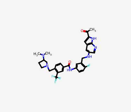 CC(=O)c1cc2cc(NCc3cc(NC(=O)c4ccc(CN5CCC(N(C)C)C5)c(C(F)(F)F)c4)ccc3F)cnc2[nH]1